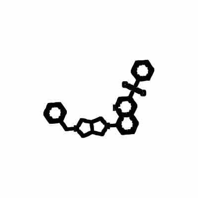 O=S(=O)(c1ccccc1)c1cnc2c(N3CC4CN(Cc5ccccc5)CC4C3)cccc2c1